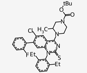 CCc1cccc(CC)c1-n1c(=S)nc(N2CCN(C(=O)OC(C)(C)C)CC2C)c2cc(Cl)c(-c3ccccc3F)cc21